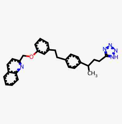 CC(CCc1nnn[nH]1)c1ccc(CCc2cccc(OCc3ccc4ccccc4n3)c2)cc1